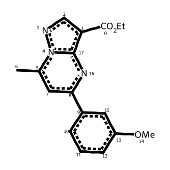 CCOC(=O)c1cnn2c(C)cc(-c3cccc(OC)c3)nc12